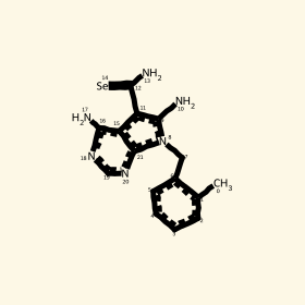 Cc1ccccc1Cn1c(N)c(C(N)=[Se])c2c(N)ncnc21